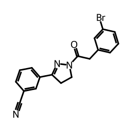 N#Cc1cccc(C2=NN(C(=O)Cc3cccc(Br)c3)CC2)c1